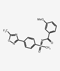 COc1cccc(C(=O)N=S(C)(=O)c2ccc(-c3noc(C(F)(F)F)n3)cc2)c1